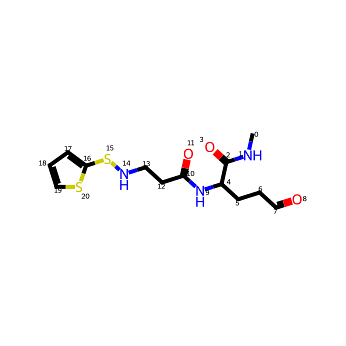 CNC(=O)C(CCC=O)NC(=O)CCNSc1cccs1